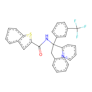 O=C(NC(Cc1ccccc1)(c1cccc(C(F)(F)F)c1)c1ccccn1)c1cc2ccccc2s1